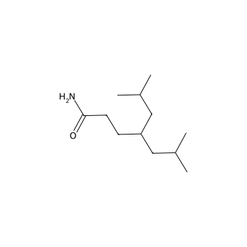 CC(C)CC(CCC(N)=O)CC(C)C